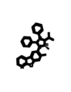 Cc1cc2oc3ncccc3c2cc1N1C(c2ccccc2)N(c2ccccc2)C(C(C)C)[C@@H]1C